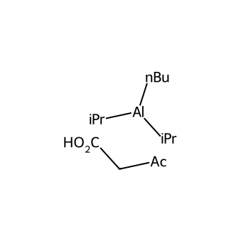 CC(=O)CC(=O)O.CCC[CH2][Al]([CH](C)C)[CH](C)C